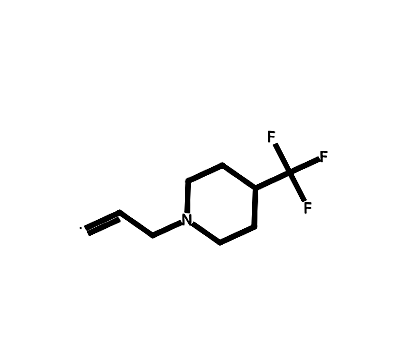 [CH]=CCN1CCC(C(F)(F)F)CC1